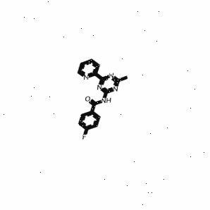 Cc1nc(NC(=O)c2ccc(F)cc2)nc(-c2ccccn2)n1